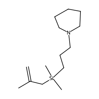 C=C(C)C[Si](C)(C)CCCN1CCCCC1